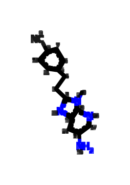 Cn1c(CCc2ccc(C#N)cc2)nc2cc(N)cnc21